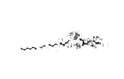 C#CCCCCC(=O)SCCNC(=O)CCNC(=O)C(O)C(C)(C)COP(=O)(O)OP(=O)(O)OCC1OC(C)(n2cnc3c(N)ncnc32)C(O)C1OP(=O)(O)O